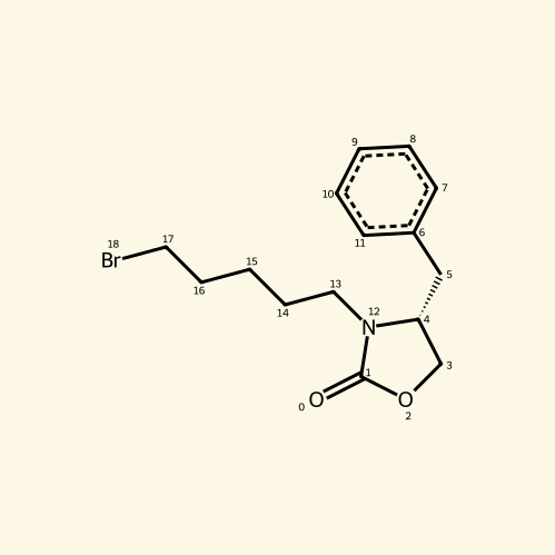 O=C1OC[C@@H](Cc2ccccc2)N1CCCCCBr